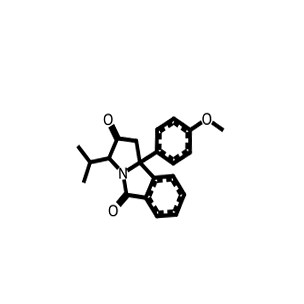 COc1ccc(C23CC(=O)C(C(C)C)N2C(=O)c2ccccc23)cc1